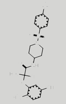 Cc1ccc(C)c(OC(C)(C)C(=O)NC2CCN(S(=O)(=O)c3ccc(C(F)(F)F)cc3)CC2)c1